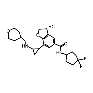 Cl.O=C(NC1CCC(F)(F)CC1)c1cc2c(c(C3CC3NCC3CCOCC3)c1)OCC2